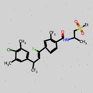 CCS(=O)(=O)CC(C)NC(=O)c1ccc(/C(F)=C/C(c2cc(C)c(Cl)c(C)c2)C(F)(F)F)cc1C(F)(F)F